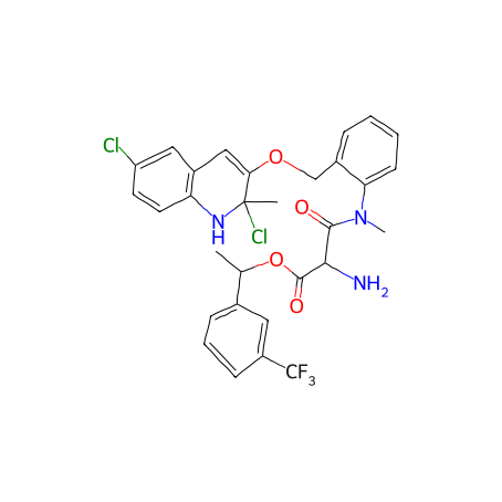 CC(OC(=O)C(N)C(=O)N(C)c1ccccc1COC1=Cc2cc(Cl)ccc2NC1(C)Cl)c1cccc(C(F)(F)F)c1